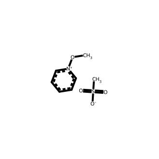 CO[n+]1ccccc1.CS(=O)(=O)[O-]